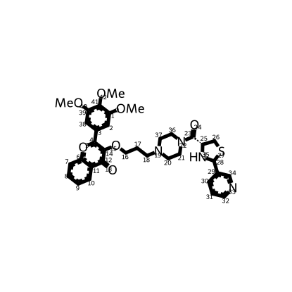 COc1cc(-c2oc3ccccc3c(=O)c2OCCCN2CCN(C(=O)[C@@H]3CSC(c4cccnc4)N3)CC2)cc(OC)c1OC